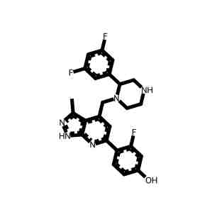 Cc1n[nH]c2nc(-c3ccc(O)cc3F)cc(CN3CCNCC3c3cc(F)cc(F)c3)c12